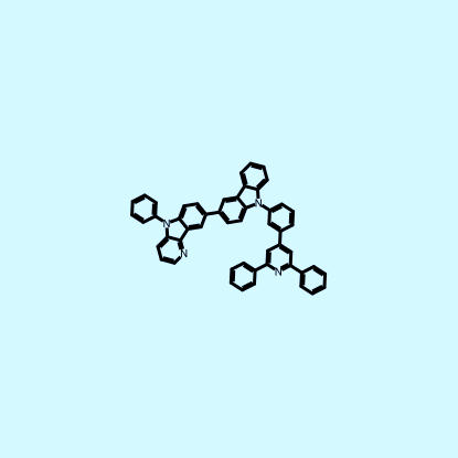 c1ccc(-c2cc(-c3cccc(-n4c5ccccc5c5cc(-c6ccc7c(c6)c6ncccc6n7-c6ccccc6)ccc54)c3)cc(-c3ccccc3)n2)cc1